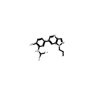 CCCn1ncc2ncc(-c3ccc(F)c(OC(F)F)c3)cc21